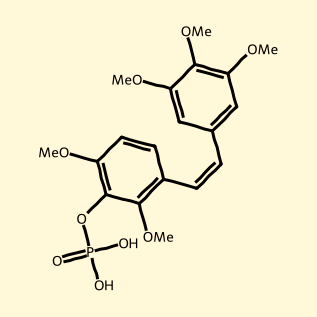 COc1cc(/C=C\c2ccc(OC)c(OP(=O)(O)O)c2OC)cc(OC)c1OC